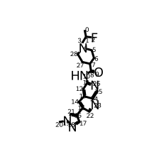 CC(F)CN1CCC(C(=O)Nc2cc3cc(-c4cnn(C)c4)cnc3cn2)CC1